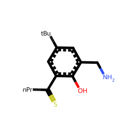 CCCC(=S)c1cc(C(C)(C)C)cc(CN)c1O